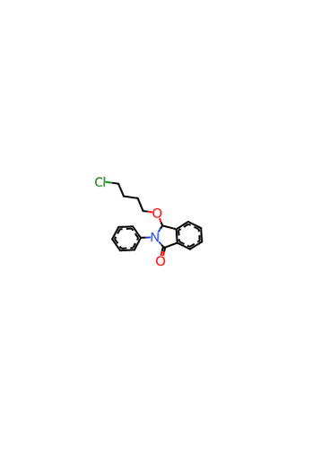 O=C1c2ccccc2C(OCCCCCl)N1c1ccccc1